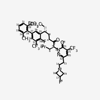 CCOC(=O)C[C@H](CCC(=O)[C@H](CC(C)C)n1nc(CCN2CC(F)C2)cc(C(F)(F)F)c1=O)c1cc(-c2c(C)cccc2C)cc(C(F)(F)F)c1F